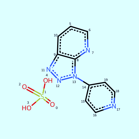 O=S(=O)(O)O.c1cnc2c(c1)nnn2-c1ccncc1